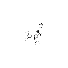 Cc1c(C(=O)NCC2CCOCC2)cc(-c2cc(C(C)(C)C)cc(C3(C)CC3)c2)n1CC1CCCCC1